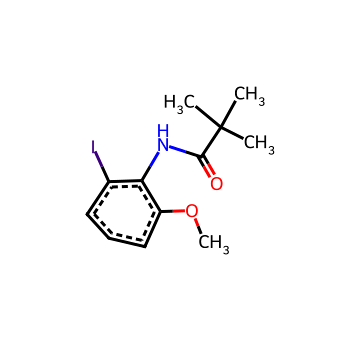 COc1cccc(I)c1NC(=O)C(C)(C)C